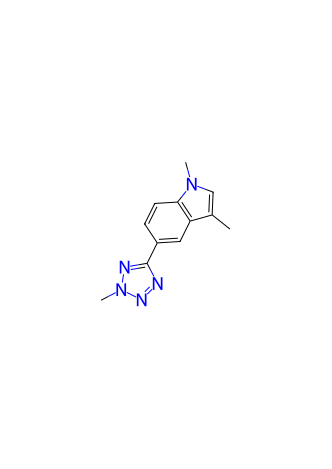 Cc1cn(C)c2ccc(-c3nnn(C)n3)cc12